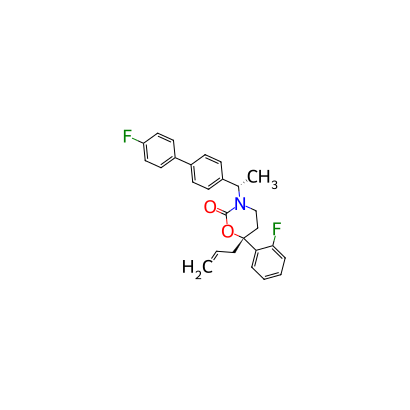 C=CC[C@]1(c2ccccc2F)CCN([C@@H](C)c2ccc(-c3ccc(F)cc3)cc2)C(=O)O1